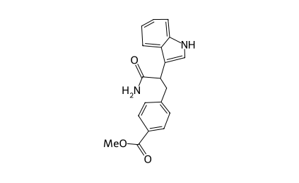 COC(=O)c1ccc(CC(C(N)=O)c2c[nH]c3ccccc23)cc1